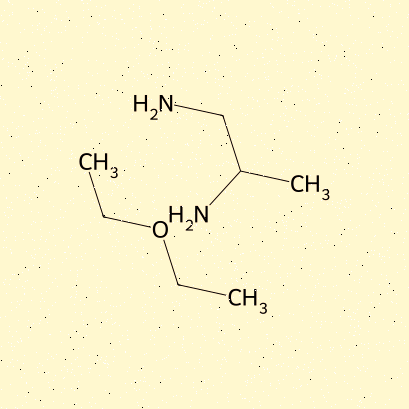 CC(N)CN.CCOCC